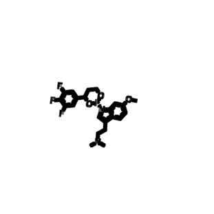 COc1ccc2c(CCN(C)C)cn(P3OCCC(c4cc(F)c(F)c(F)c4)O3)c2c1